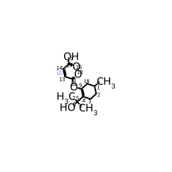 CC1CCC(C(C)(C)O)=C(OC(=O)/C=C\C(=O)O)C1